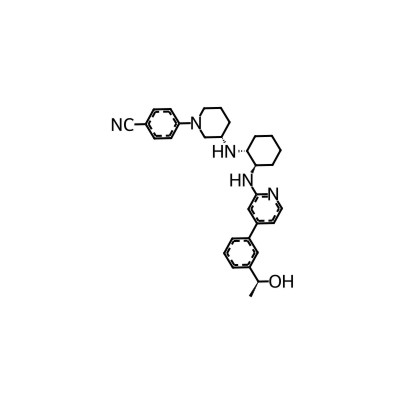 C[C@H](O)c1cccc(-c2ccnc(N[C@@H]3CCCC[C@H]3N[C@H]3CCCN(c4ccc(C#N)cc4)C3)c2)c1